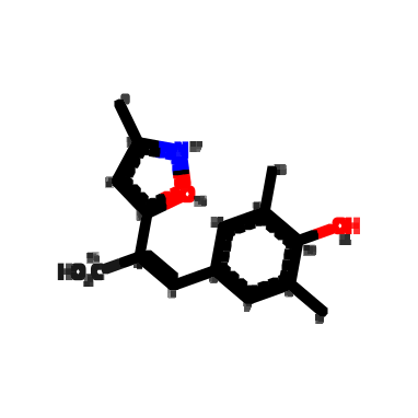 Cc1cc(C(=Cc2cc(C)c(O)c(C)c2)C(=O)O)on1